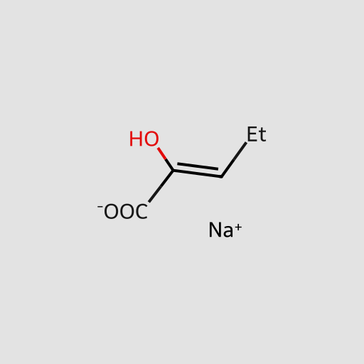 CC/C=C(\O)C(=O)[O-].[Na+]